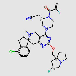 C=C(F)C(=O)N1CCN(c2nc(OC[C@@]34CCCN3C[C@H](F)C4)nc3c2CN(C)[C@]2(CCc4c(Cl)cccc42)C3)C[C@@H]1CC#N